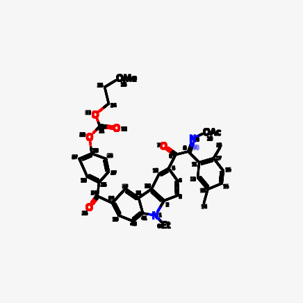 CCn1c2ccc(C(=O)/C(=N/OC(C)=O)c3cc(C)ccc3C)cc2c2cc(C(=O)c3ccc(OC(=O)OCCOC)cc3)ccc21